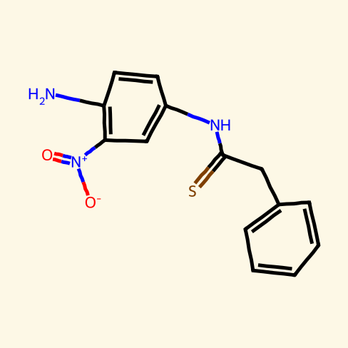 Nc1ccc(NC(=S)Cc2ccccc2)cc1[N+](=O)[O-]